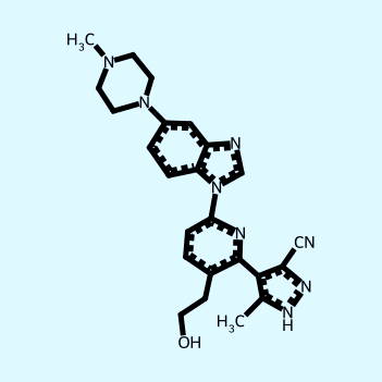 Cc1[nH]nc(C#N)c1-c1nc(-n2cnc3cc(N4CCN(C)CC4)ccc32)ccc1CCO